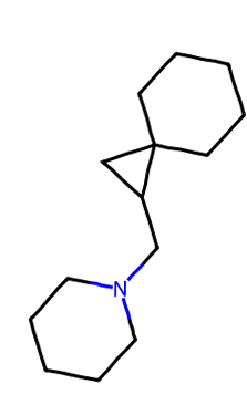 C1CCN(CC2CC23CCCCC3)CC1